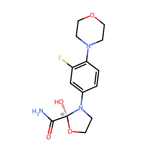 NC(=O)[C@]1(O)OCCN1c1ccc(N2CCOCC2)c(F)c1